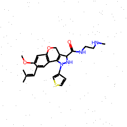 CNCCNC(=O)C1NN(c2ccsc2)C2=C1COc1cc(OC)c(C=C(C)C)cc12